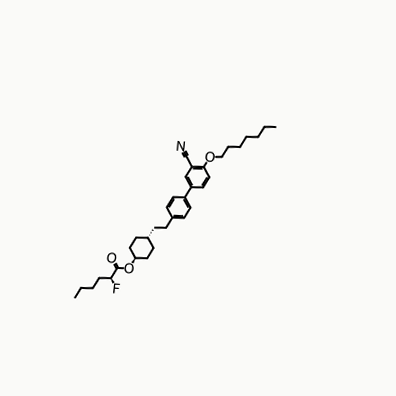 CCCCCCCOc1ccc(-c2ccc(CC[C@H]3CC[C@H](OC(=O)[C@@H](F)CCCC)CC3)cc2)cc1C#N